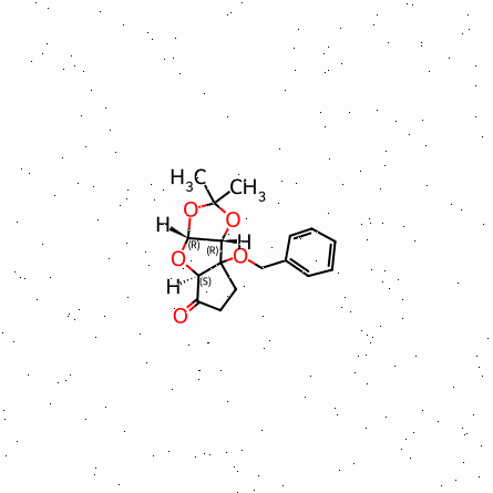 CC1(C)O[C@H]2O[C@@H]3C(=O)CCC3(OCc3ccccc3)[C@H]2O1